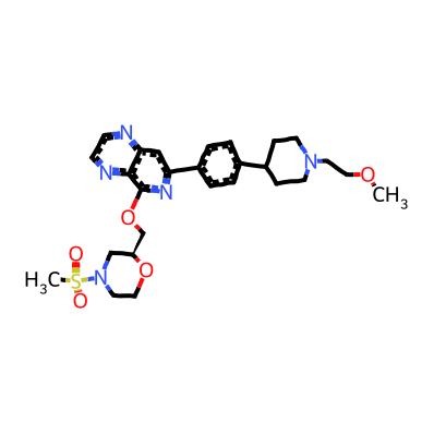 COCCN1CCC(c2ccc(-c3cc4nccnc4c(OC[C@@H]4CN(S(C)(=O)=O)CCO4)n3)cc2)CC1